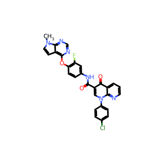 Cn1ccc2c(Oc3ccc(NC(=O)c4cn(-c5ccc(Cl)cc5)c5ncccc5c4=O)cc3F)ncnc21